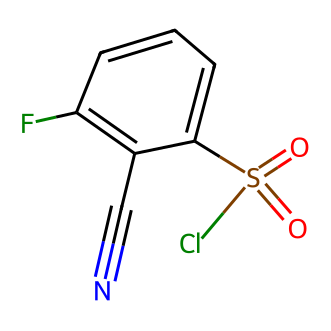 N#Cc1c(F)cccc1S(=O)(=O)Cl